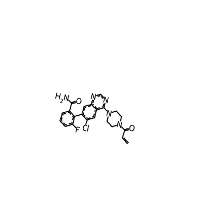 C=CC(=O)N1CCN(c2ncnc3cc(-c4c(F)cccc4C(N)=O)c(Cl)cc23)CC1